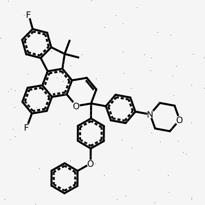 CC1(C)c2cc(F)ccc2-c2c1c1c(c3cc(F)ccc23)OC(c2ccc(Oc3ccccc3)cc2)(c2ccc(N3CCOCC3)cc2)C=C1